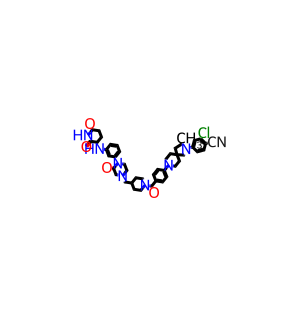 C[C@@H]1CC2(CCN(c3ccc(C(=O)N4CCC(CN5CCN(c6cccc(N[C@@H]7CCC(=O)NC7=O)c6)C(=O)C5)CC4)cc3)CC2)CN1c1ccc(C#N)c(Cl)c1